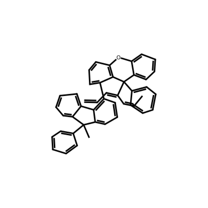 C=C/C=C(\C=C/C)C1(c2ccccc2)c2ccccc2Oc2cccc(-c3cccc4c3-c3ccccc3C4(C)c3ccccc3)c21